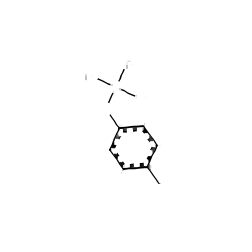 CC(C)[Si](Oc1ccc(I)cc1)(C(C)C)C(C)C